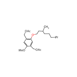 COc1cc(COC(C)=O)c(OCCC(C)CCCC(C)C)cc1COC(C)=O